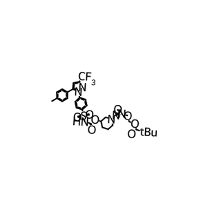 Cc1ccc(-c2cc(C(F)(F)F)nn2-c2ccc(S(=O)(=O)NC(=O)OC3CCCN(n4on4OCOC(=O)C(C)(C)C)C3)cc2)cc1